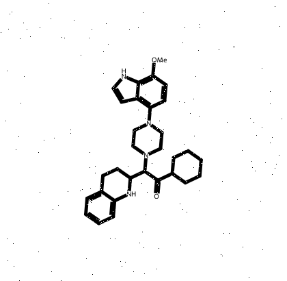 COc1ccc(N2CCN(C(C(=O)C3CCCCC3)C3CCc4ccccc4N3)CC2)c2cc[nH]c12